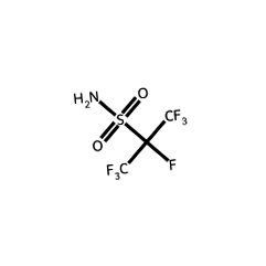 NS(=O)(=O)C(F)(C(F)(F)F)C(F)(F)F